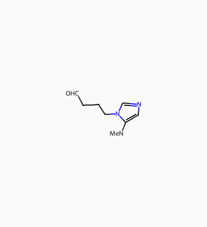 CNc1cncn1CCCC=O